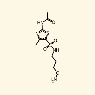 CC(=O)Nc1nc(C)c(S(=O)(=O)NCCCON)s1